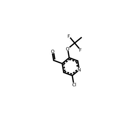 CC(F)(F)Oc1cnc(Cl)cc1C=O